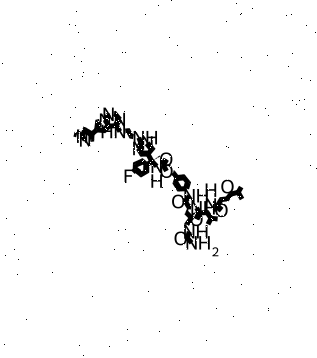 CC(C)C(=O)CCC(=O)N[C@H](C(=O)N[C@@H](CCCNC(N)=O)C(=O)Nc1ccc(COC(=O)N[C@@](C)(c2ccc(F)cc2)c2cnc(NCCNc3ncnn4cc(-c5cnn(C)c5)cc34)nc2)cc1)C(C)C